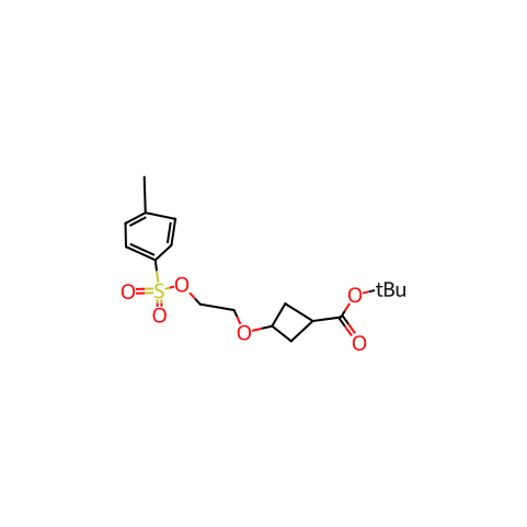 Cc1ccc(S(=O)(=O)OCCOC2CC(C(=O)OC(C)(C)C)C2)cc1